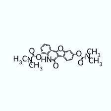 CN(C)C(=O)Oc1ccc2c(c1)oc1c3cccc(OC(=O)N(C)C)c3[nH]c(=O)c21